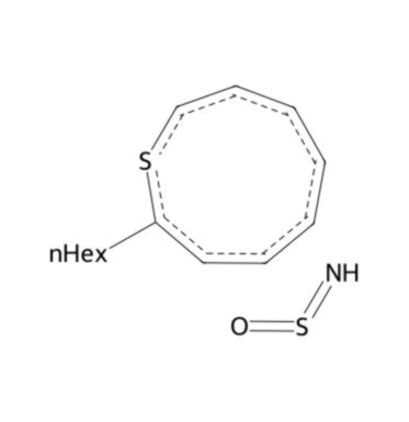 CCCCCCc1cccccccs1.N=S=O